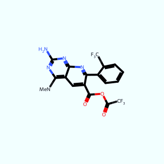 CNc1nc(N)nc2nc(-c3ccccc3C(F)(F)F)c(C(=O)OC(=O)C(F)(F)F)cc12